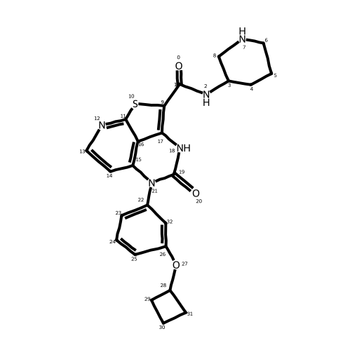 O=C(NC1CCCNC1)c1sc2nccc3c2c1NC(=O)N3c1cccc(OC2CCC2)c1